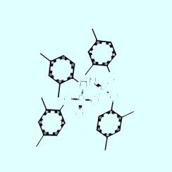 Cc1ccc(OP(=N)(OP(=O)(Oc2ccc(C)cc2C)Oc2ccc(C)cc2C)Sc2ccc(C)cc2C)c(C)c1